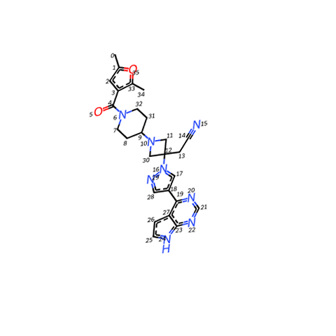 Cc1cc(C(=O)N2CCC(N3CC(CC#N)(n4cc(-c5ncnc6[nH]ccc56)cn4)C3)CC2)c(C)o1